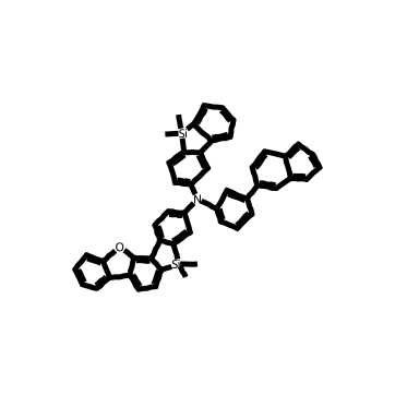 C[Si]1(C)c2ccccc2-c2cc(N(c3cccc(-c4ccc5ccccc5c4)c3)c3ccc4c(c3)[Si](C)(C)c3ccc5c(oc6ccccc65)c3-4)ccc21